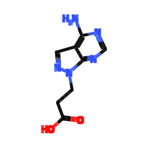 Nc1ncnc2c1cnn2CCC(=O)O